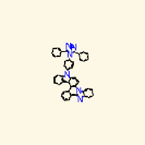 c1ccc(-c2nnc(-c3ccccc3)n2-c2ccc(-n3c4ccccc4c4c5c6ccccc6c6nc7ccccc7n6c5ccc43)cc2)cc1